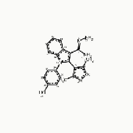 Cc1noc(C)c1-c1c(C(N)=NN)c2ccccc2n1-c1ccc(O)cc1